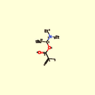 C=C(C)C(=O)OC(N(CC)CC)C(C)(C)C